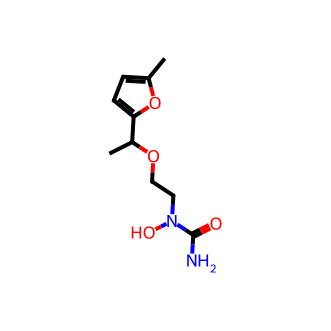 Cc1ccc(C(C)OCCN(O)C(N)=O)o1